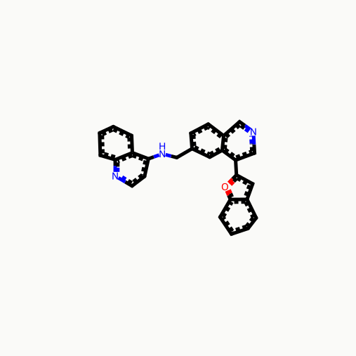 c1ccc2oc(-c3cncc4ccc(CNc5ccnc6ccccc56)cc34)cc2c1